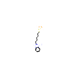 O=S(=O)(O)SCCCCCCc1nc2ccccc2[nH]1